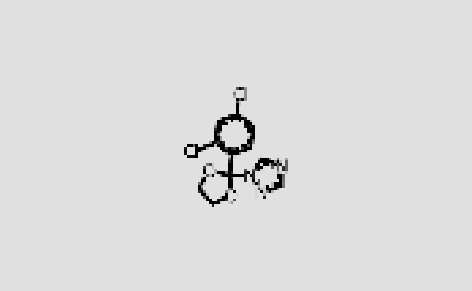 Clc1ccc(C2(n3cncn3)OCCO2)c(Cl)c1